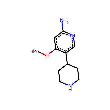 CCCOc1cc(N)ncc1C1CCNCC1